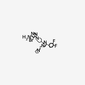 Nc1ncnc(N2CCC(c3nc(-c4ccc(F)c(F)c4)cn3CCN3CCCC3)CC2)c1Br